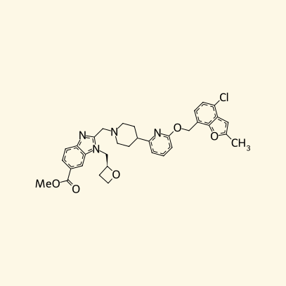 COC(=O)c1ccc2nc(CN3CCC(c4cccc(OCc5ccc(Cl)c6cc(C)oc56)n4)CC3)n(C[C@@H]3CCO3)c2c1